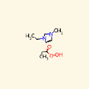 CCC(=O)OO.CCN1C=CN(C)C1